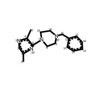 Cc1cnc(C)c(N2CCN(Cc3ccccc3)CC2)n1